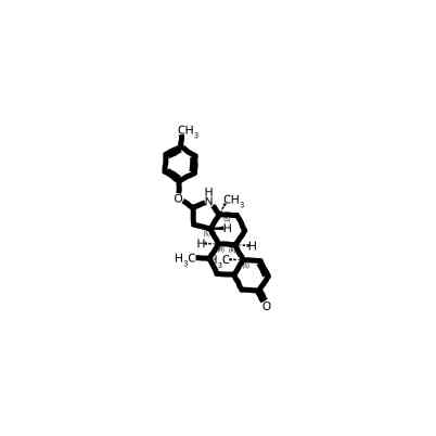 Cc1ccc(OC2C[C@H]3[C@@H]4C(C)CC5CC(=O)C=C[C@]5(C)[C@@H]4CC[C@]3(C)N2)cc1